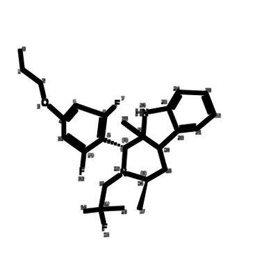 CCCOc1cc(F)c([C@H]2N(CC(C)(C)F)[C@H](C)CC3c4ccccc4NC32C)c(F)c1